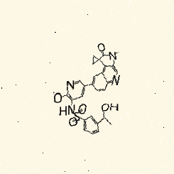 COc1ncc(-c2ccc3ncc4c(c3c2)C2(CC2)C(=O)N4C)cc1NS(=O)(=O)c1cccc(C(C)O)c1